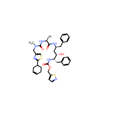 CC(C)[C@H](NC(=O)N(C)Cc1csc(C2CC=CCC2)n1)C(=O)N[C@@H](Cc1ccccc1)C[C@H](O)[C@H](Cc1ccccc1)NC(=O)OCc1ccns1